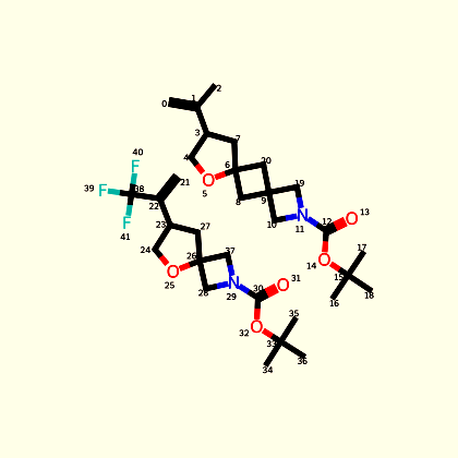 C=C(C)C1COC2(C1)CC1(CN(C(=O)OC(C)(C)C)C1)C2.C=C(C1COC2(C1)CN(C(=O)OC(C)(C)C)C2)C(F)(F)F